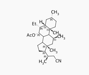 CC[C@H]1[C@@H](OC(C)=O)C2C3CC[C@H]([C@H](C)CC#N)[C@@]3(C)C[C@H](C)C2[C@@]2(C)CC[C@@H](C)C[C@@H]12